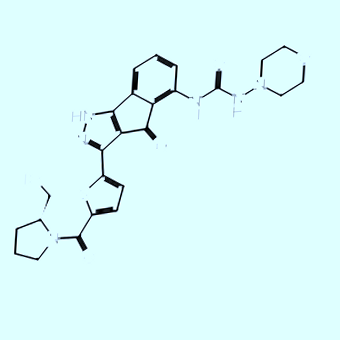 O=C(Nc1cccc2c1C(=O)c1c(-c3ccc(C(=O)N4CCC[C@H]4CO)s3)n[nH]c1-2)NN1CCOCC1